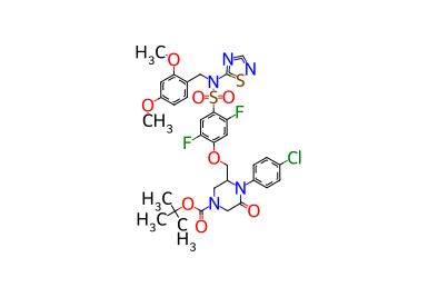 COc1ccc(CN(c2ncns2)S(=O)(=O)c2cc(F)c(OCC3CN(C(=O)OC(C)(C)C)CC(=O)N3c3ccc(Cl)cc3)cc2F)c(OC)c1